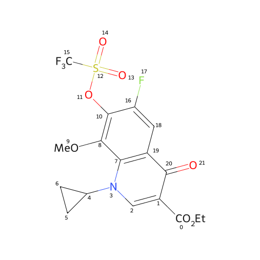 CCOC(=O)c1cn(C2CC2)c2c(OC)c(OS(=O)(=O)C(F)(F)F)c(F)cc2c1=O